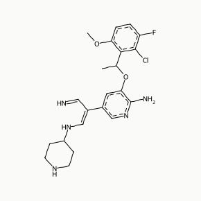 COc1ccc(F)c(Cl)c1C(C)Oc1cc(/C(C=N)=C/NC2CCNCC2)cnc1N